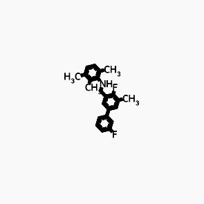 Cc1ccc(C)c(NCc2cc(-c3cccc(F)c3)cc(C)c2F)c1C